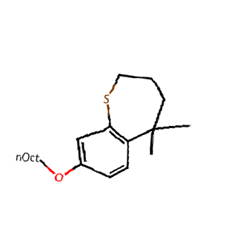 CCCCCCCCOc1ccc2c(c1)SCCCC2(C)C